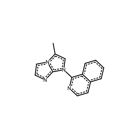 Cc1cn(-c2nccc3ccccc23)c2nccn12